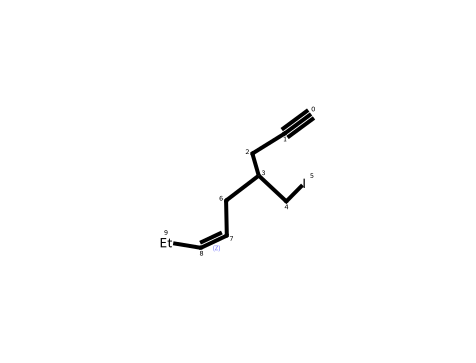 C#CCC(CI)C/C=C\CC